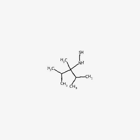 CC(C)C(C)(NS)C(C)C